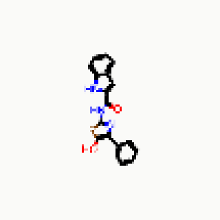 O=C(Nc1nc(-c2ccccc2)c(O)s1)c1cc2ccccc2[nH]1